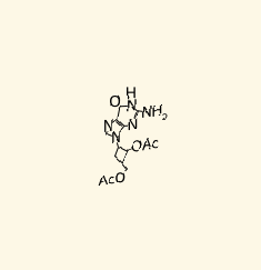 CC(=O)OCC1CC(n2cnc3c(=O)[nH]c(N)nc32)C1OC(C)=O